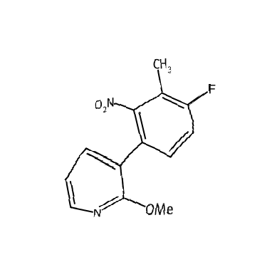 COc1ncccc1-c1ccc(F)c(C)c1[N+](=O)[O-]